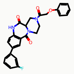 O=C1Nc2ccc(-c3cccc(F)c3)cc2C(=O)N2CCN(C(=O)COc3ccccc3)CC12